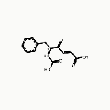 CC(=O)N[C@@H](Cc1ccccc1)C(=O)C=CC(=O)O